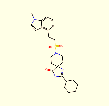 Cn1ccc2c(CCS(=O)(=O)N3CCC4(CC3)N=C(C3CCCCC3)NC4=O)cccc21